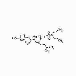 CCCN(CCC)S(=O)(=O)CCC(=O)N(CCC(C)C)C[C@@H](O)[C@@H](N)Cc1ccc(O)cc1